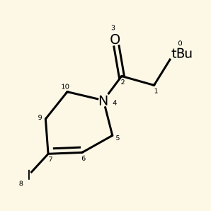 CC(C)(C)CC(=O)N1CC=C(I)CC1